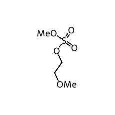 COCCOS(=O)(=O)OC